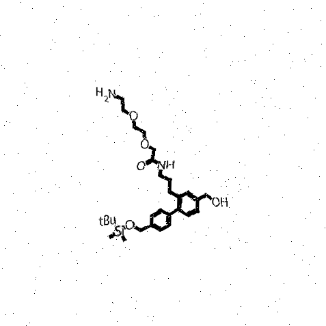 CC(C)(C)[Si](C)(C)OCc1ccc(-c2ccc(CO)cc2CCCNC(=O)COCCOCCN)cc1